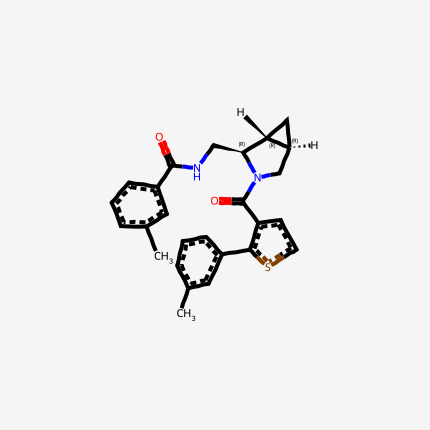 Cc1cccc(C(=O)NC[C@H]2[C@@H]3C[C@H]3CN2C(=O)c2ccsc2-c2cccc(C)c2)c1